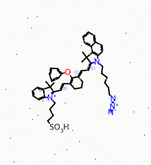 CC1(C)C(/C=C/C2=C(Oc3ccccc3)C(=C/C=C3/N(CCCCCCN=[N+]=[N-])c4ccc5ccccc5c4C3(C)C)/CCC2)=[N+](CCCCS(=O)(=O)O)c2ccccc21